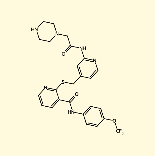 O=C(CN1CCNCC1)Nc1cc(CSc2ncccc2C(=O)Nc2ccc(OC(F)(F)F)cc2)ccn1